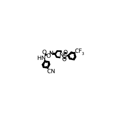 N#Cc1ccc(NC(=O)ON=C2CCN(S(=O)(=O)c3cccc(C(F)(F)F)c3)CC2)cc1